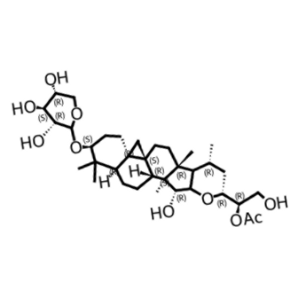 CC(=O)O[C@H](CO)[C@H]1C[C@@H](C)C2C(O1)[C@H](O)[C@@]1(C)[C@@H]3CC[C@H]4C(C)(C)[C@@H](OC5OC[C@@H](O)[C@H](O)[C@H]5O)CC[C@@]45C[C@@]35CC[C@]21C